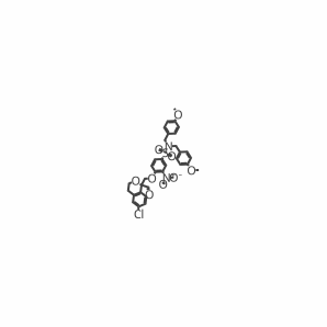 COc1ccc(CN(Cc2ccc(OC)cc2)S(=O)(=O)c2ccc(OCC3(C=O)OCCc4cc(Cl)ccc43)c([N+](=O)[O-])c2)cc1